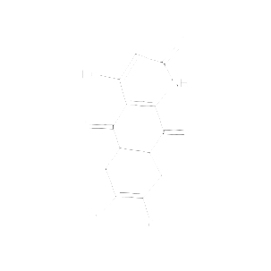 CC1=C(C)CC2C(=O)c3c(C)cc(=O)[nH]c3C(=O)C2C1